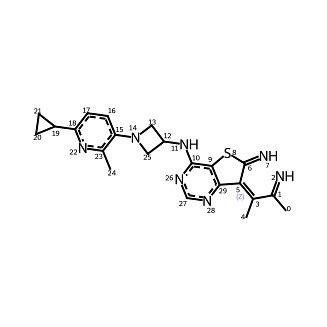 CC(=N)/C(C)=C1\C(=N)Sc2c(NC3CN(c4ccc(C5CC5)nc4C)C3)ncnc21